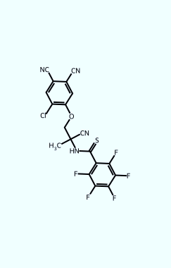 CC(C#N)(COc1cc(C#N)c(C#N)cc1Cl)NC(=S)c1c(F)c(F)c(F)c(F)c1F